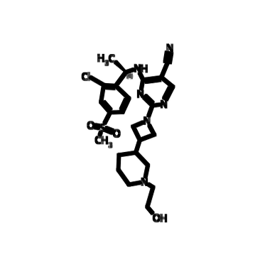 C[C@@H](Nc1nc(N2CC(C3CCCN(CCO)C3)C2)ncc1C#N)c1ccc(S(C)(=O)=O)cc1Cl